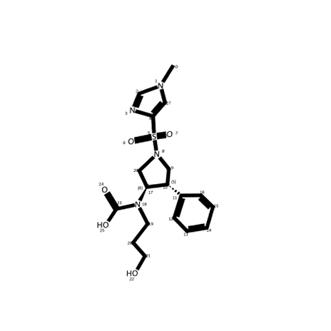 Cn1cnc(S(=O)(=O)N2C[C@H](c3ccccc3)[C@@H](N(CCCO)C(=O)O)C2)c1